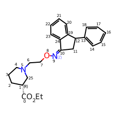 CCOC(=O)[C@@H]1CCCN(CCO/N=C2/CC(c3ccccc3)c3ccccc32)C1